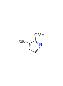 COc1ncccc1C(C)(C)C